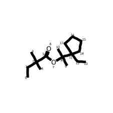 CCC(C)(C)C(=O)OC(C)(C)C1(CC)CCCC1